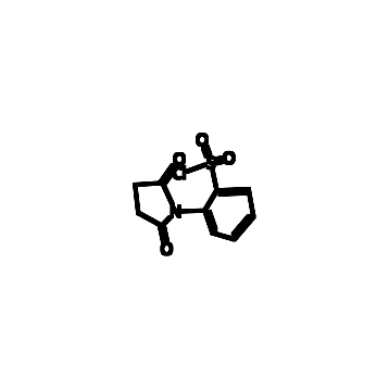 O=C1CCC(=O)N1c1ccccc1S(=O)(=O)Cl